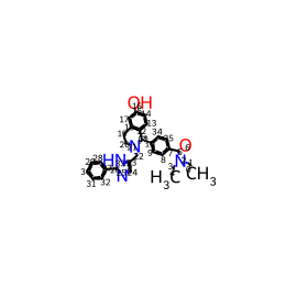 CCN(CC)C(=O)c1ccc([C@@H]2c3ccc(O)cc3CCN2Cc2cnc(-c3ccccc3)[nH]2)cc1